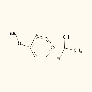 CCC(C)Oc1[c]cc(C(C)(C)CC)cc1